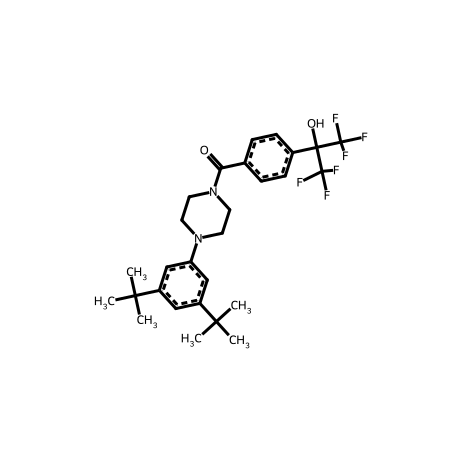 CC(C)(C)c1cc(N2CCN(C(=O)c3ccc(C(O)(C(F)(F)F)C(F)(F)F)cc3)CC2)cc(C(C)(C)C)c1